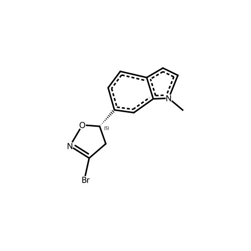 Cn1ccc2ccc([C@@H]3CC(Br)=NO3)cc21